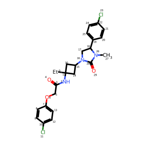 CCC1(NC(=O)COc2ccc(Cl)cc2)CC(N2CC(c3ccc(Cl)cc3)N(C)C2=O)C1